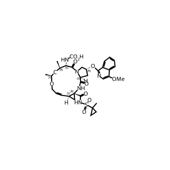 COc1cnc(O[C@@H]2C[C@H]3C(=O)N[C@]4(C(=O)NS(=O)(=O)C5(C)CC5)C[C@H]4C=CCO[C@@H](C)C[C@@H](C)[C@H](NC(=O)O)C(=O)N3C2)c2ccccc12